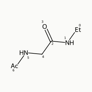 [CH2]CNC(=O)CNC(C)=O